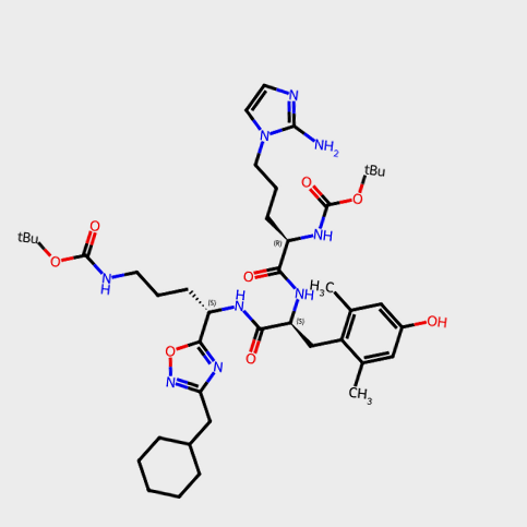 Cc1cc(O)cc(C)c1C[C@H](NC(=O)[C@@H](CCCn1ccnc1N)NC(=O)OC(C)(C)C)C(=O)N[C@@H](CCCNC(=O)OC(C)(C)C)c1nc(CC2CCCCC2)no1